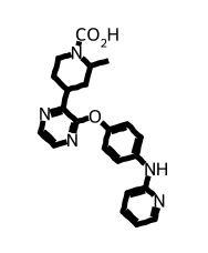 CC1CC(c2nccnc2Oc2ccc(Nc3ccccn3)cc2)CCN1C(=O)O